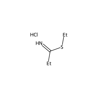 CCSC(=N)CC.Cl